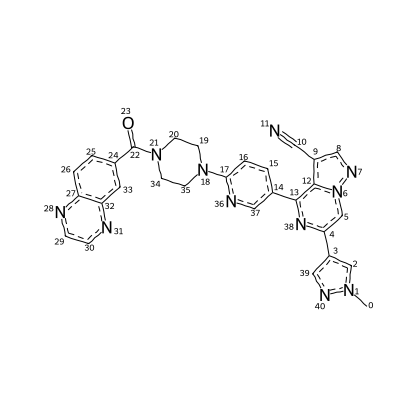 Cn1cc(-c2cn3ncc(C#N)c3c(-c3ccc(N4CCN(C(=O)c5ccc6nccnc6c5)CC4)nc3)n2)cn1